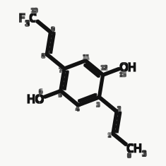 C/C=C/c1cc(O)c(/C=C/C(F)(F)F)cc1O